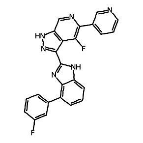 Fc1cccc(-c2cccc3[nH]c(-c4n[nH]c5cnc(-c6cccnc6)c(F)c45)nc23)c1